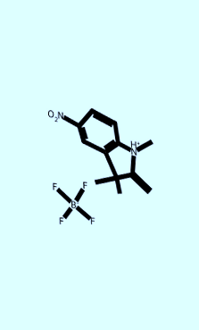 C=C1[NH+](C)c2ccc([N+](=O)[O-])cc2C1(C)C.F[B-](F)(F)F